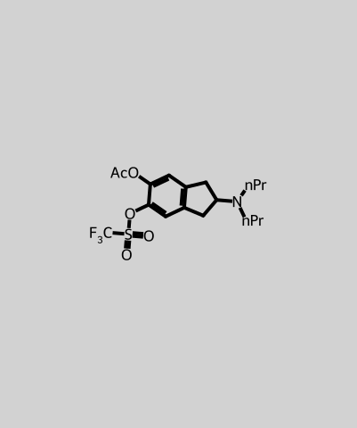 CCCN(CCC)C1Cc2cc(OC(C)=O)c(OS(=O)(=O)C(F)(F)F)cc2C1